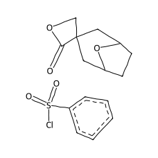 O=C1OCC12CC1CCC(C2)O1.O=S(=O)(Cl)c1ccccc1